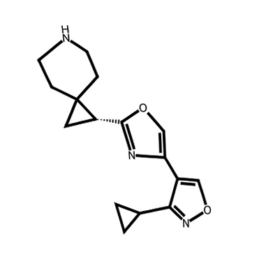 c1oc([C@@H]2CC23CCNCC3)nc1-c1conc1C1CC1